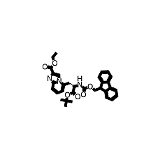 CCOC(=O)c1cn2c(C[C@H](NC(=O)OCC3c4ccccc4-c4ccccc43)C(=O)OC(C)(C)C)cccc2n1